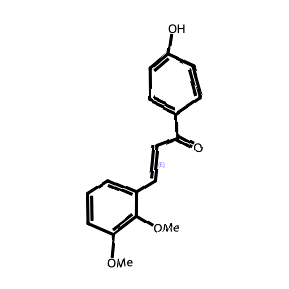 COc1cccc(/C=C/C(=O)c2ccc(O)cc2)c1OC